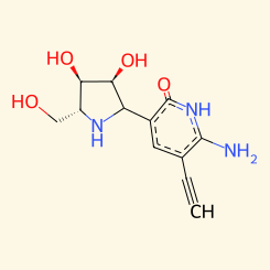 C#Cc1cc(C2N[C@H](CO)[C@@H](O)[C@H]2O)c(=O)[nH]c1N